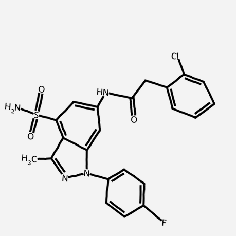 Cc1nn(-c2ccc(F)cc2)c2cc(NC(=O)Cc3ccccc3Cl)cc(S(N)(=O)=O)c12